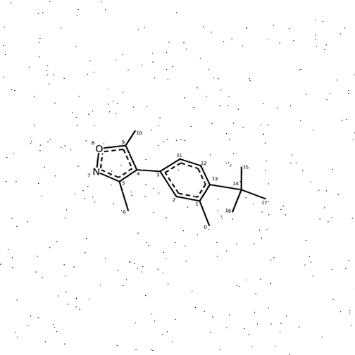 Cc1cc(-c2c(C)noc2C)ccc1C(C)(C)C